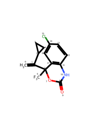 C=C(C1CC1)C1(C(F)(F)F)OC(=O)Nc2ccc(Cl)cc21